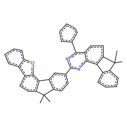 CC1(C)c2ccccc2-c2c1ccc1c(-c3ccccc3)nc(-c3ccc4c(c3)-c3c(ccc5c3sc3ccccc35)C4(C)C)nc21